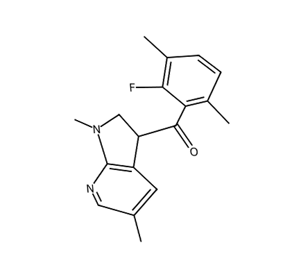 Cc1cnc2c(c1)C(C(=O)c1c(C)ccc(C)c1F)CN2C